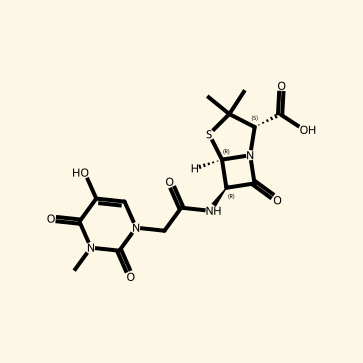 Cn1c(=O)c(O)cn(CC(=O)N[C@@H]2C(=O)N3[C@@H]2SC(C)(C)[C@@H]3C(=O)O)c1=O